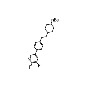 CCCCC1CCC(CCc2ccc(-c3cnc(F)c(F)c3)cc2)CC1